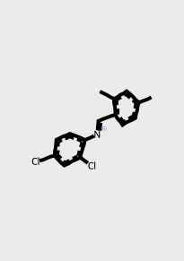 Cc1ccc(/C=N/c2ccc(Cl)cc2Cl)c(C)c1